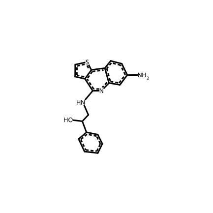 Nc1ccc2c(c1)nc(NCC(O)c1ccccc1)c1ccsc12